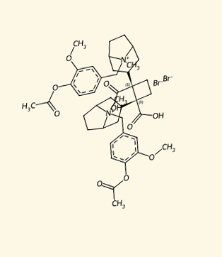 COc1cc(C[N+]2(C)C3CCC2CC([C@@]2(C(=O)O)CC[C@@]2(C(=O)O)C2CC4CCC(C2)[N+]4(C)Cc2ccc(OC(C)=O)c(OC)c2)C3)ccc1OC(C)=O.[Br-].[Br-]